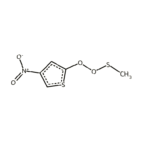 CSOOc1cc([N+](=O)[O-])cs1